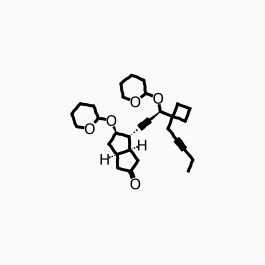 CCC#CCC1([C@@H](C#C[C@@H]2[C@H]3CC(=O)C[C@H]3C[C@H]2OC2CCCCO2)OC2CCCCO2)CCC1